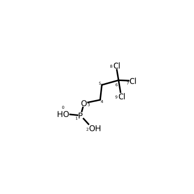 OP(O)OCCC(Cl)(Cl)Cl